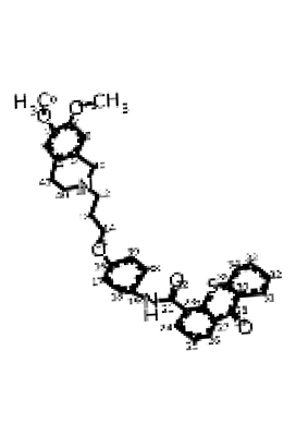 COc1cc2c(cc1OC)CN(CCCOc1ccc(NC(=O)c3cccc4c(=O)c5ccccc5sc34)cc1)CC2